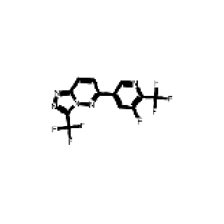 Fc1cc(-c2ccc3nnc(C(F)(F)F)n3n2)cnc1C(F)(F)F